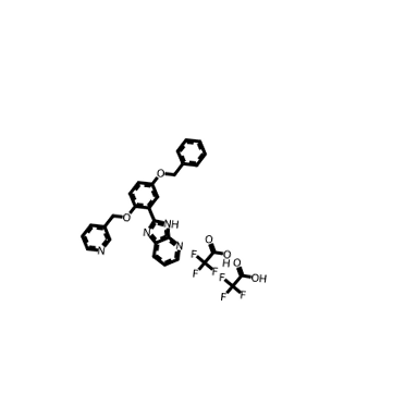 O=C(O)C(F)(F)F.O=C(O)C(F)(F)F.c1ccc(COc2ccc(OCc3cccnc3)c(-c3nc4cccnc4[nH]3)c2)cc1